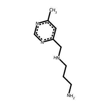 Cc1cc(CNCCCN)ncn1